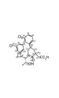 CC(O)[C@H](C1CC1)N1C(=O)C(C)(CC(=O)O)C[C@H](c2cccc(Cl)c2)[C@H]1c1ccc(Cl)cc1